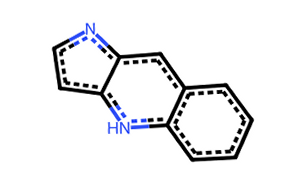 c1ccc2[nH]c3ccnc-3cc2c1